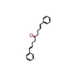 O=C(CC/C=C/c1ccccc1)CC/C=C/c1ccccc1